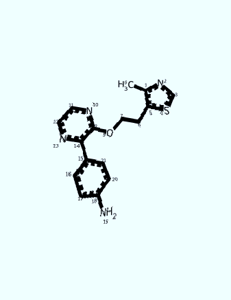 Cc1ncsc1CCOc1nccnc1-c1ccc(N)cc1